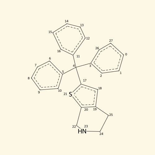 c1ccc(C(c2ccccc2)(c2ccccc2)c2cc3c(s2)CNCC3)cc1